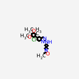 C=CC(=O)N1CC2(CC(Nc3ncc4cc(-c5c(C)c(OC)cc(OC)c5Cl)ccc4n3)C2)C1